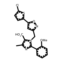 COc1ccccc1-c1nc(C)c(C(=O)O)n1Cc1cc(-c2ccc(Cl)s2)on1